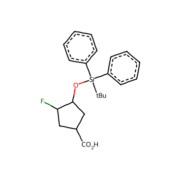 CC(C)(C)[Si](OC1CC(C(=O)O)CC1F)(c1ccccc1)c1ccccc1